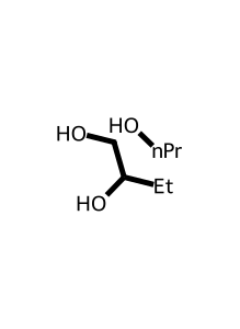 CCC(O)CO.CCCO